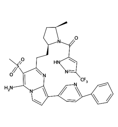 C[C@@H]1CC[C@H](CCc2nc3c(-c4ccc(-c5ccccc5)nc4)ccn3c(N)c2S(C)(=O)=O)N1C(=O)c1cc(C(F)(F)F)n[nH]1